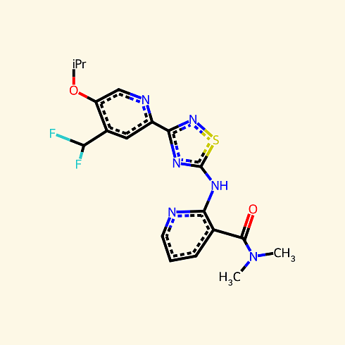 CC(C)Oc1cnc(-c2nsc(Nc3ncccc3C(=O)N(C)C)n2)cc1C(F)F